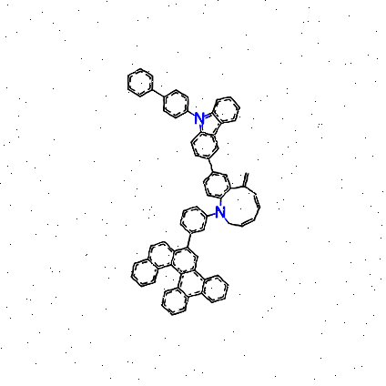 C=C1/C=C\C=C/CN(c2cccc(-c3cc4c5ccccc5c5ccccc5c4c4c3ccc3ccccc34)c2)c2ccc(-c3ccc4c(c3)c3ccccc3n4-c3ccc(-c4ccccc4)cc3)cc21